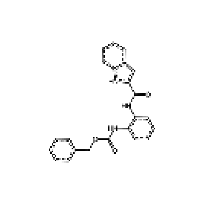 O=C(Nc1ccccc1NC(=O)c1cc2ccccc2[nH]1)OCc1ccccc1